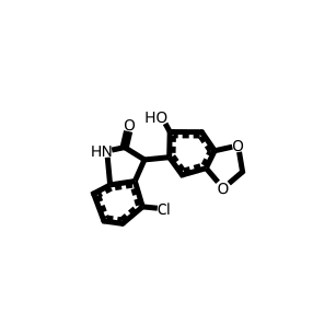 O=C1Nc2cccc(Cl)c2C1c1cc2c(cc1O)OCO2